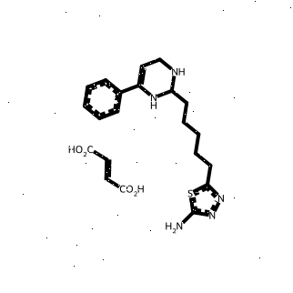 Nc1nnc(CCCCCC2NCC=C(c3ccccc3)N2)s1.O=C(O)/C=C/C(=O)O